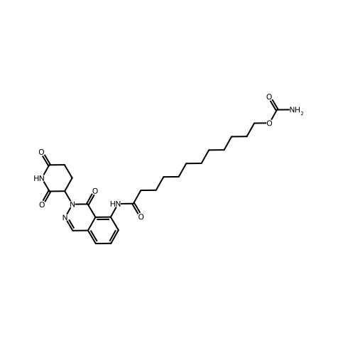 NC(=O)OCCCCCCCCCCCC(=O)Nc1cccc2cnn(C3CCC(=O)NC3=O)c(=O)c12